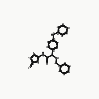 O=C(Nc1nc(=S)ss1)C(OCc1ccccc1)c1ccc(Nc2ccncc2)cc1